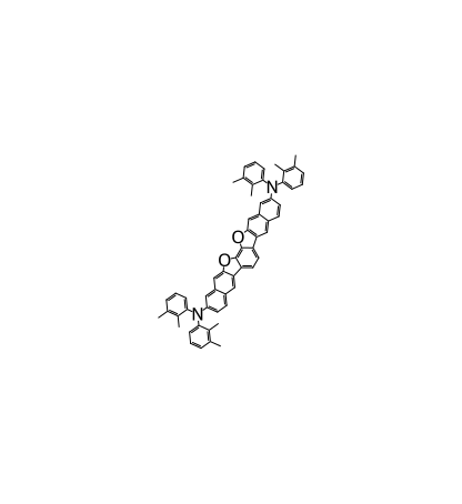 Cc1cccc(N(c2ccc3cc4c(cc3c2)oc2c4ccc3c4cc5ccc(N(c6cccc(C)c6C)c6cccc(C)c6C)cc5cc4oc32)c2cccc(C)c2C)c1C